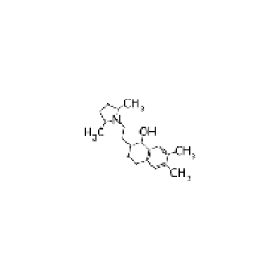 Cc1cc2c(cc1C)C(O)C(CCN1C(C)CCC1C)CC2